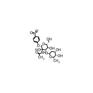 CC(=O)N[C@]1(O)[C@H](Oc2ccc([N+](=O)[O-])cc2)O[C@H](CO)[C@@H](O)[C@@H]1O[C@H]1C[C@H](O)[C@H](O)[C@H](C)O1